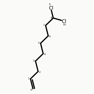 C=CCCCCCCC(Cl)Cl